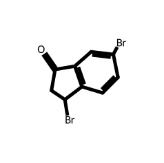 O=C1CC(Br)c2ccc(Br)cc21